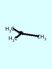 CCCCCCCCCCCCCCCCCCCN1C=CN(CCCCCCCCC)C1CCCCCCC